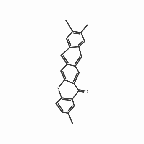 Cc1ccc2sc3cc4cc5cc(C)c(C)cc5cc4cc3c(=O)c2c1